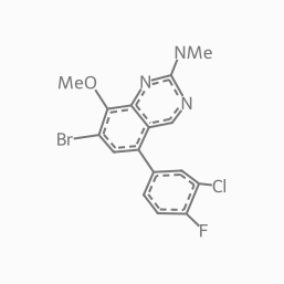 CNc1ncc2c(-c3ccc(F)c(Cl)c3)cc(Br)c(OC)c2n1